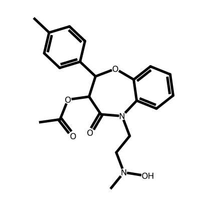 CC(=O)OC1C(=O)N(CCN(C)O)c2ccccc2OC1c1ccc(C)cc1